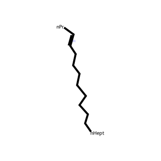 [CH2]CC/C=C/CCCCCCCCCCCCCC[CH2]